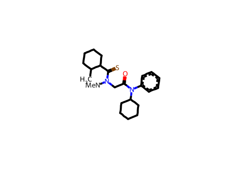 CNN(CC(=O)N(c1ccccc1)C1CCCCC1)C(=S)C1CCCCC1C